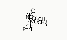 CC(C)(C)OC(=O)NC(Cc1cc(F)cc(F)c1)c1nnc(-c2ccccc2)o1